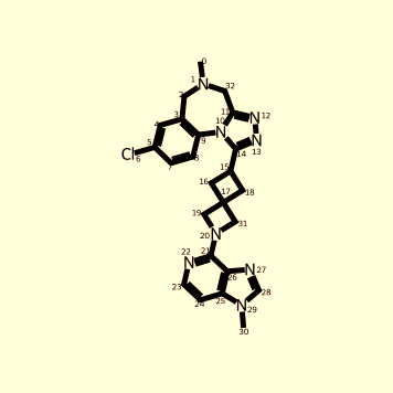 CN1Cc2cc(Cl)ccc2-n2c(nnc2C2CC3(C2)CN(c2nccc4c2ncn4C)C3)C1